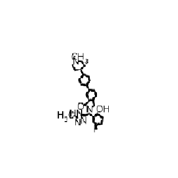 Cc1nnc(C(c2cc(F)ccc2O)N2Cc3ccc(-c4ccc(C5CCN(C)CC5)cc4)cc3C2=O)[nH]1